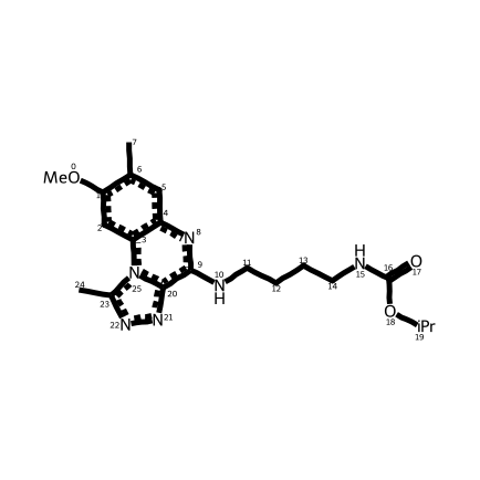 COc1cc2c(cc1C)nc(NCCCCNC(=O)OC(C)C)c1nnc(C)n12